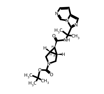 CC(C)(C)OC(=O)N1C[C@@H]2[C@H](C1)[C@H]2C(=O)NC(C)(C)c1ncc2ccncn12